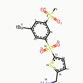 CC(C)(C)c1cc(S(C)(=O)=O)cc(S(=O)(=O)c2ccc(CN)s2)c1